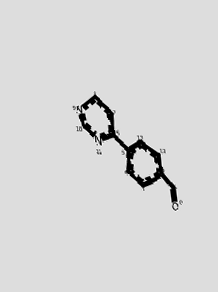 O=Cc1ccc(-c2ccncn2)cc1